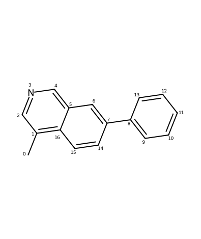 Cc1cncc2cc(-c3ccccc3)ccc12